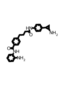 Nc1ccccc1NC(=O)c1ccc(CCCC(=O)Nc2ccc(C3CC3N)cc2)cc1